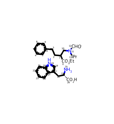 CCOC(=O)C(CCc1ccccc1)CN(C=O)C(C)C.N[C@@H](Cc1c[nH]c2ccccc12)C(=O)O